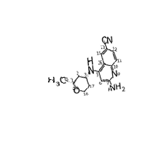 C[C@@H]1C[C@H](Nc2cc(N)nc3ccc(C#N)cc23)CCO1